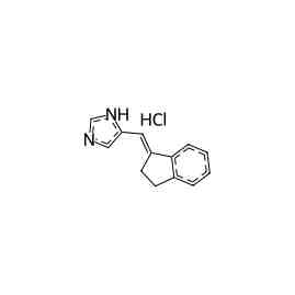 C(=C1CCc2ccccc21)c1cnc[nH]1.Cl